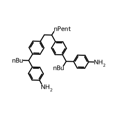 CCCCCC(Cc1ccc(C(CCCC)c2ccc(N)cc2)cc1)c1ccc(C(CCCC)c2ccc(N)cc2)cc1